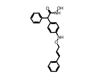 O=C(NO)C(c1ccccc1)c1ccc(NOC/C=C/c2ccccc2)cc1